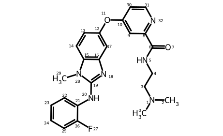 CN(C)CCNC(=O)c1cc(Oc2ccc3c(c2)nc(Nc2ccccc2F)n3C)ccn1